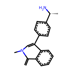 C=C1c2ccccc2C(c2ccc([C@@H](C)N)cc2)=CN1C